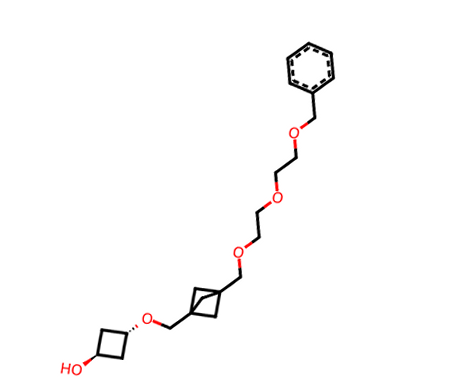 O[C@H]1C[C@H](OCC23CC(COCCOCCOCc4ccccc4)(C2)C3)C1